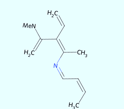 C=C/C(C(=C)NC)=C(C)/N=C\C=C/C